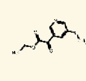 CCOC(=O)C(=O)c1cncc(OC)c1